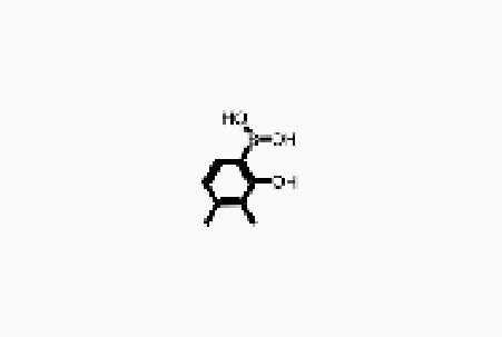 Cc1ccc(B(O)O)c(O)c1C